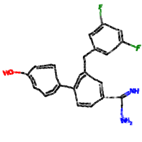 N=C(N)c1ccc(-c2ccc(O)cc2)c(Cc2cc(F)cc(F)c2)c1